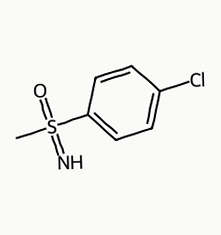 CS(=N)(=O)c1ccc(Cl)cc1